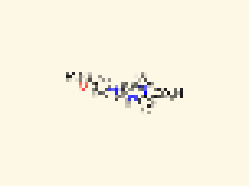 COC(=O)c1ccc(N2CC3(C2)CN(c2cccc(C(=O)O)c2-n2cccc2)C3)cc1